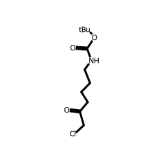 CC(C)(C)OC(=O)NCCCCC(=O)CCl